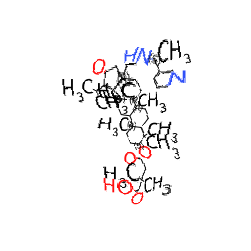 CC(C)C1=C2[C@H]3CCC4[C@@]5(C)CC[C@H](OC(=O)CC(C)(C)C(=O)O)C(C)(C)C5CC[C@@]4(C)[C@]3(C)CC[C@@]2(CCN[C@@H](C)c2cccnc2)CC1=O